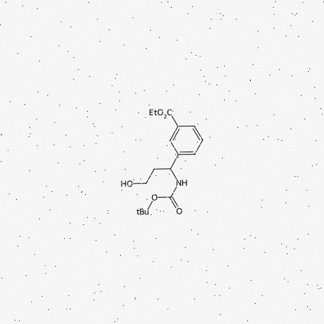 CCOC(=O)c1cccc(C(CCO)NC(=O)OC(C)(C)C)c1